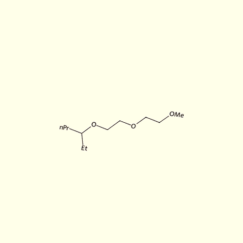 CCCC(CC)OCCOCCOC